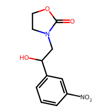 O=C1OCCN1CC(O)c1cccc([N+](=O)[O-])c1